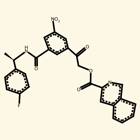 C[C@@H](NC(=O)c1cc(C(=O)COC(=O)c2cc3ccccc3cn2)cc([N+](=O)[O-])c1)c1ccc(F)cc1